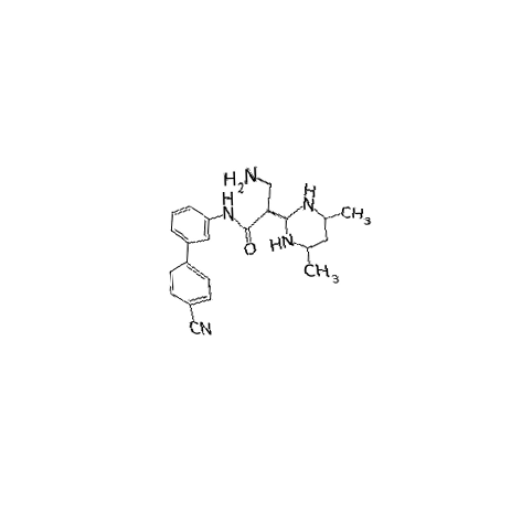 CC1CC(C)NC(C(CN)C(=O)Nc2cccc(-c3ccc(C#N)cc3)c2)N1